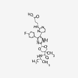 CC(C)NC(=O)C1(C)COC(c2nc(-c3ccc(F)cc3)c(-c3ccnc(NCCC(=O)O)n3)[nH]2)OC1